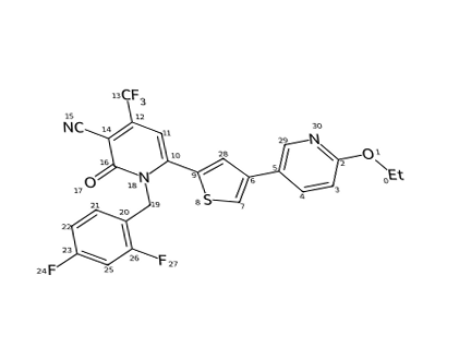 CCOc1ccc(-c2csc(-c3cc(C(F)(F)F)c(C#N)c(=O)n3Cc3ccc(F)cc3F)c2)cn1